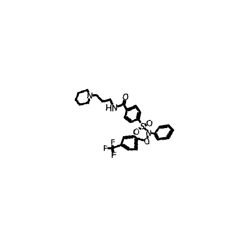 O=C(NCCCN1CCCCC1)c1ccc(S(=O)(=O)N(Oc2ccc(C(F)(F)F)cc2)c2ccccc2)cc1